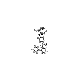 N=C(N)NC[C@H]1CC[C@H](C(=O)Oc2ccccc2-c2ccccc2)CC1